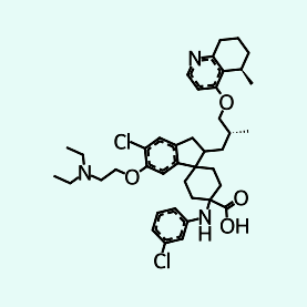 CCN(CC)CCOc1cc2c(cc1Cl)CC(C[C@@H](C)COc1ccnc3c1[C@H](C)CCC3)C21CCC(Nc2cccc(Cl)c2)(C(=O)O)CC1